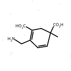 CC1(C(=O)O)C=CC(CN)=C(C(=O)O)C1